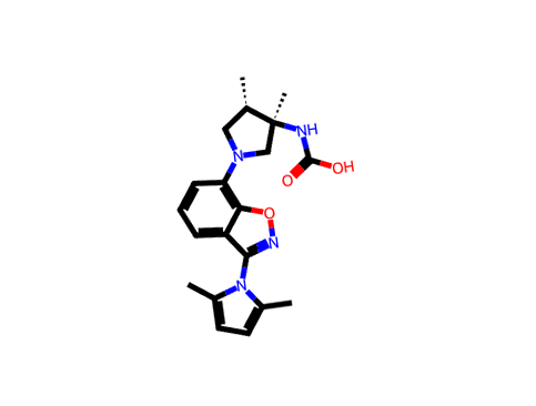 Cc1ccc(C)n1-c1noc2c(N3C[C@H](C)[C@@](C)(NC(=O)O)C3)cccc12